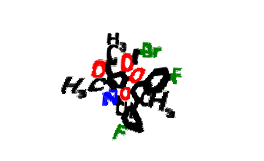 CC(=O)c1c(OCCBr)c(OC(CC(C)c2ccc(F)cc2)c2ccc(F)cc2)c2oc(C)nc2c1C